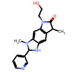 CC1C(=O)N(CCO)c2cc3c(cc21)NC(c1cccnc1)N3C